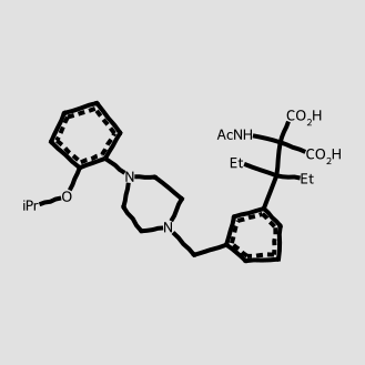 CCC(CC)(c1cccc(CN2CCN(c3ccccc3OC(C)C)CC2)c1)C(NC(C)=O)(C(=O)O)C(=O)O